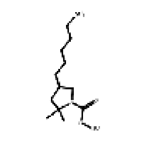 CC(C)(C)OC(=O)N1CC(CCCCCN)CC1(C)C